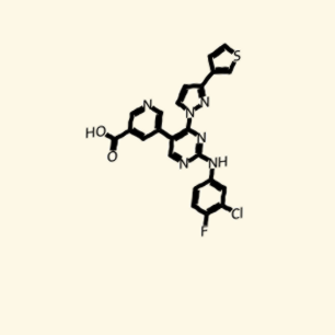 O=C(O)c1cncc(-c2cnc(Nc3ccc(F)c(Cl)c3)nc2-n2ccc(-c3ccsc3)n2)c1